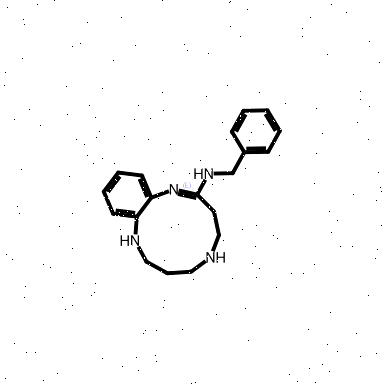 c1ccc(CN/C2=N/c3ccccc3NCCCNCC2)cc1